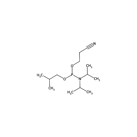 CC(C)COP(OCCC#N)N(C(C)C)C(C)C